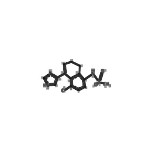 CS(=O)(=O)Nc1ccc(Cl)c2c1CCC=C2c1c[nH]cn1